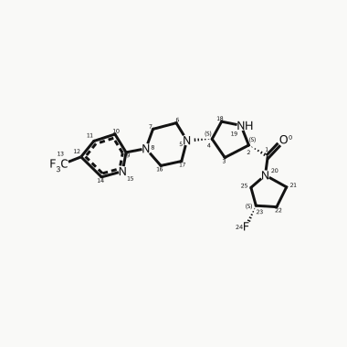 O=C([C@@H]1C[C@H](N2CCN(c3ccc(C(F)(F)F)cn3)CC2)CN1)N1CC[C@H](F)C1